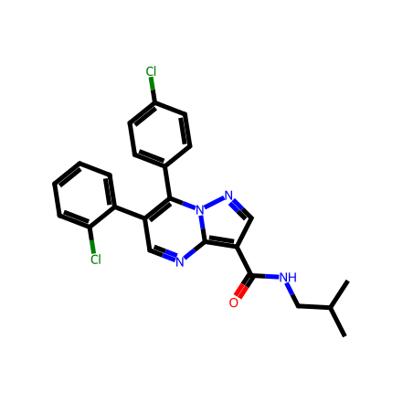 CC(C)CNC(=O)c1cnn2c(-c3ccc(Cl)cc3)c(-c3ccccc3Cl)cnc12